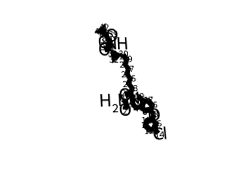 NC(=O)[C@H]1Cc2cc(Oc3cccc(Cl)c3)ccc2CN1C(=O)CCCCCC/C=C\[C@@H]1C[C@@H]1C(=O)NS(=O)(=O)C1CC1